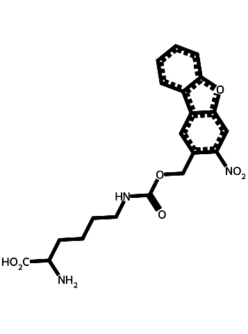 NC(CCCCNC(=O)OCc1cc2c(cc1[N+](=O)[O-])oc1ccccc12)C(=O)O